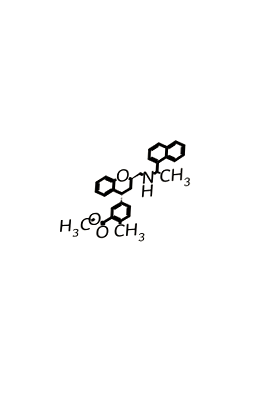 COC(=O)c1cc([C@H]2C[C@H](CN[C@H](C)c3cccc4ccccc34)Oc3ccccc32)ccc1C